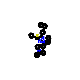 c1ccc(-c2cc3nc(-n4c5ccc(-c6cccc7c8ccccc8n(-c8ccccc8)c67)cc5c5ccc6ccccc6c54)nc(-c4ccc(-c5cccc6ccccc56)cc4)c3s2)cc1